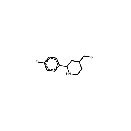 OCC1CCNC(c2ccc(F)cc2)C1